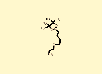 C=CCO/C=C\CCB1OC(C)(C)C(C)(C)O1